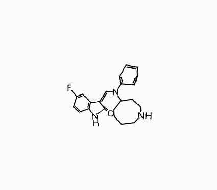 O=C1Nc2ccc(F)cc2/C1=C/N(c1ccccc1)C1CCCCNCC1